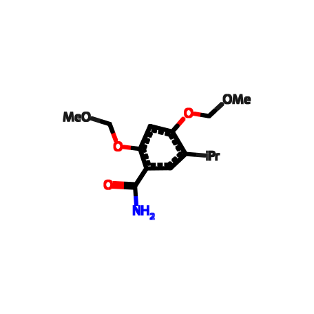 COCOc1cc(OCOC)c(C(C)C)cc1C(N)=O